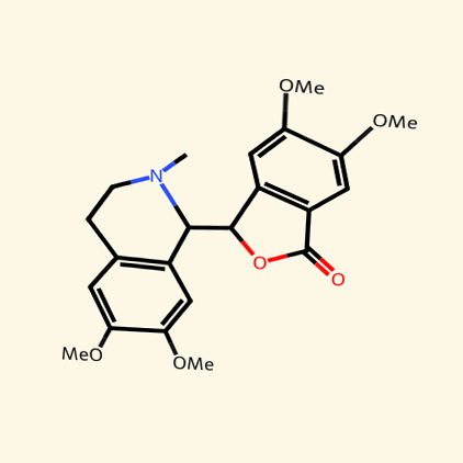 COc1cc2c(cc1OC)C(C1OC(=O)c3cc(OC)c(OC)cc31)N(C)CC2